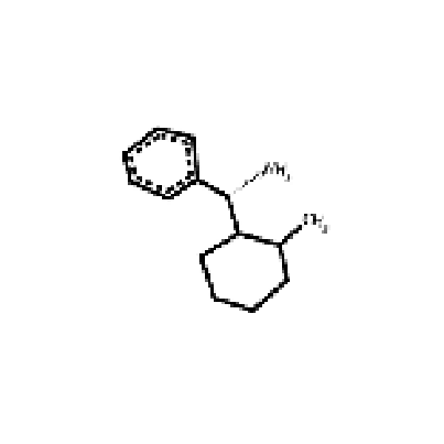 CC1CCCCC1[C@@H](N)c1ccccc1